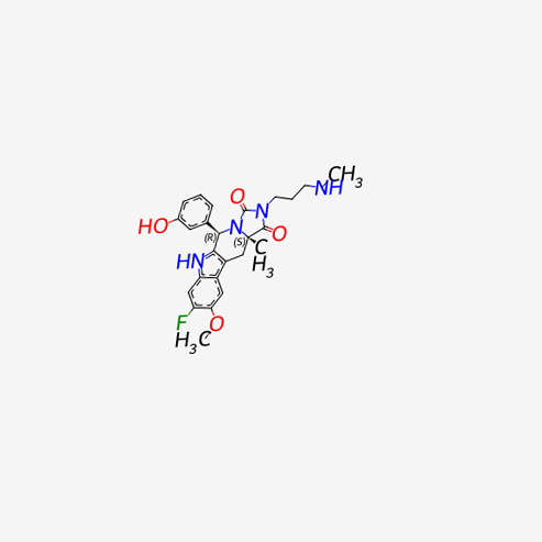 CNCCCN1C(=O)N2[C@H](c3cccc(O)c3)c3[nH]c4cc(F)c(OC)cc4c3C[C@@]2(C)C1=O